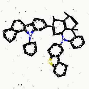 CC1C=CC2(C)C3=C1C(C)C(c1ccc4c5ccc6ccccc6c5n(-c5ccccc5)c4c1)=CC3(C)N(c1ccc3sc4ccccc4c3c1)c1ccccc12